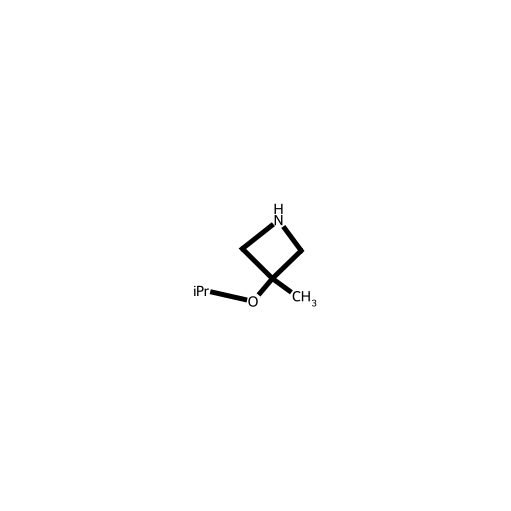 CC(C)OC1(C)CNC1